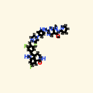 Cn1c2nc(Nc3ccc(N4CCN(Cc5c(F)cc(-c6[nH]c7cc(F)cc8c7c6CCNC8=O)cc5F)CC4)cc3)ncc2c(=O)n1-c1ccccn1